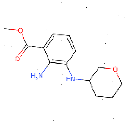 COC(=O)c1cccc(NC2CCCOC2)c1N